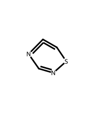 C1=CSN=CN=1